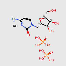 Nc1ccn(C[C@@H]2O[C@H](CO)[C@@H](O)[C@H]2O)c(=O)n1.O=P(O)(O)O.O=P(O)(O)O.[KH]